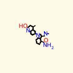 Cc1cc(O)nc2ccc(-n3cc(CN(C)C)c4c(C(N)=O)cccc43)cc12